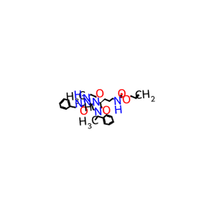 C=CCOC(=O)NCCC[C@H]1C(=O)N(C(C)c2ccccc2)C[C@H]2N1C(=O)CN(C)N2C(=O)NCc1ccccc1